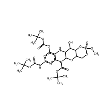 COP1(=O)OCC2OC3C(Nc4c(OC(=O)OC(C)(C)C)nc(NC(=O)OC(C)(C)C)nc4N3C(=O)OC(C)(C)C)C(O)C2O1